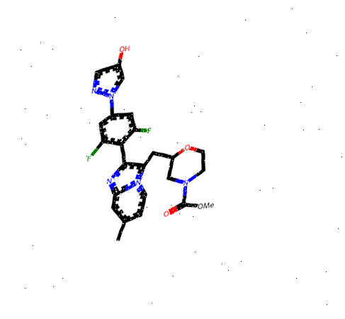 COC(=O)N1CCOC(Cc2c(-c3c(F)cc(-n4cc(O)cn4)cc3F)nc3cc(C)ccn23)C1